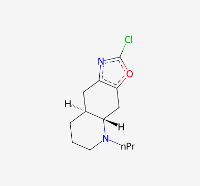 CCCN1CCC[C@H]2Cc3nc(Cl)oc3C[C@@H]21